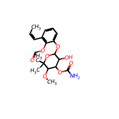 C/C=C\c1cccc(OC2OC(C)(C)C(OC)C(OC(N)=O)C2O)c1OC=O